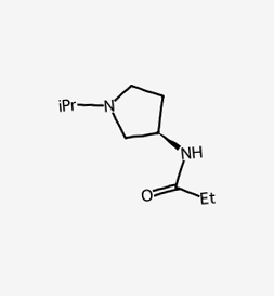 CCC(=O)N[C@@H]1CCN(C(C)C)C1